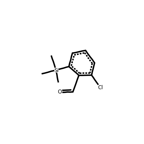 C[Si](C)(C)c1cccc(Cl)c1C=O